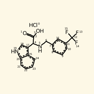 Cl.O=C(O)C(NCc1cccc(C(F)(F)F)c1)c1c[nH]c2ccccc12